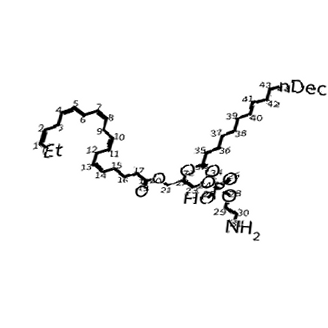 CC/C=C\C/C=C\C/C=C\C/C=C\C/C=C\CCCC(=O)OC[C@H](COP(=O)(O)OCCN)OC(=O)CCCCCCCCCCCCCCCCCCC